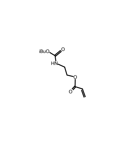 C=CC(=O)OCCNC(=O)OCC(C)C